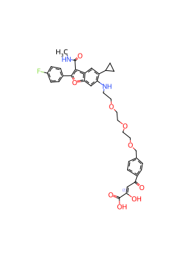 CNC(=O)c1c(-c2ccc(F)cc2)oc2cc(NCCOCCOCCOCc3ccc(C(=O)/C=C(\O)C(=O)O)cc3)c(C3CC3)cc12